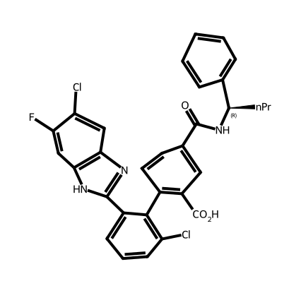 CCC[C@@H](NC(=O)c1ccc(-c2c(Cl)cccc2-c2nc3cc(Cl)c(F)cc3[nH]2)c(C(=O)O)c1)c1ccccc1